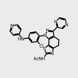 CC(=O)Nc1nc2c(s1)-c1c(c(-c3cnccn3)nn1-c1ccc(Nc3ccncc3)cc1Cl)CC2